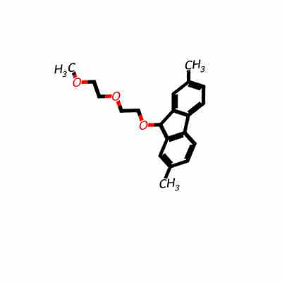 COCCOCCOC1c2cc(C)ccc2-c2ccc(C)cc21